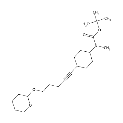 CN(C(=O)OC(C)(C)C)C1CCC(C#CCCCOC2CCCCO2)CC1